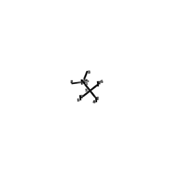 C[N+](C)C(F)(F)F